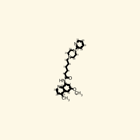 COc1cc(NC(=O)CCCCCN2CCN(c3ccccn3)CC2)c2nccc(C)c2c1